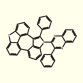 c1ccc(-c2nc3ccccc3nc2-n2c(-c3ccccc3)c3c4c(cccc42)-c2cccc4sc5cccc-3c5c24)cc1